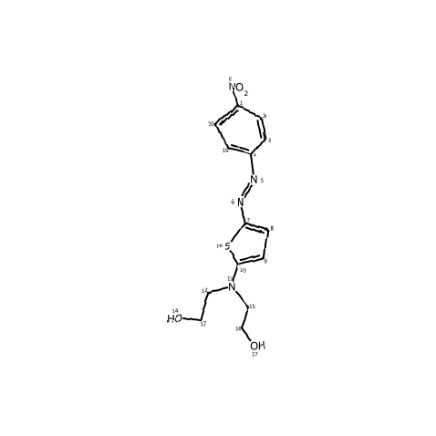 O=[N+]([O-])c1ccc(N=Nc2ccc(N(CCO)CCO)s2)cc1